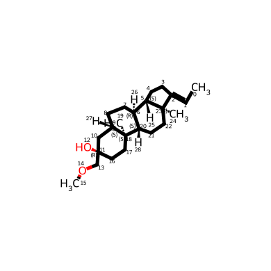 CC=C1CC[C@H]2[C@@H]3CC[C@H]4C[C@@](O)(COC)CC[C@]4(C)[C@H]3CC[C@]12C